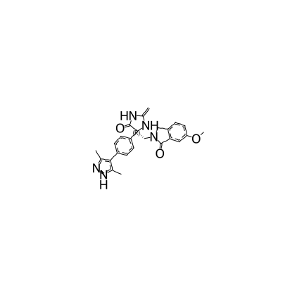 C=C1NC(=O)[C@](CN2Cc3ccc(OC)cc3C2=O)(c2ccc(-c3c(C)n[nH]c3C)cc2)N1